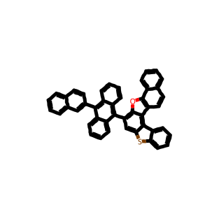 c1ccc2cc(-c3c4ccccc4c(-c4cc5sc6ccccc6c5c5c4oc4c6ccccc6ccc45)c4ccccc34)ccc2c1